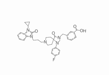 O=C(O)c1cccc(CN2CN(c3ccc(F)cc3)C3(CCN(CCCn4c(=O)n(C5CC5)c5ccccc54)CC3)C2=O)c1